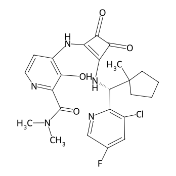 CN(C)C(=O)c1nccc(Nc2c(N[C@@H](c3ncc(F)cc3Cl)C3(C)CCCC3)c(=O)c2=O)c1O